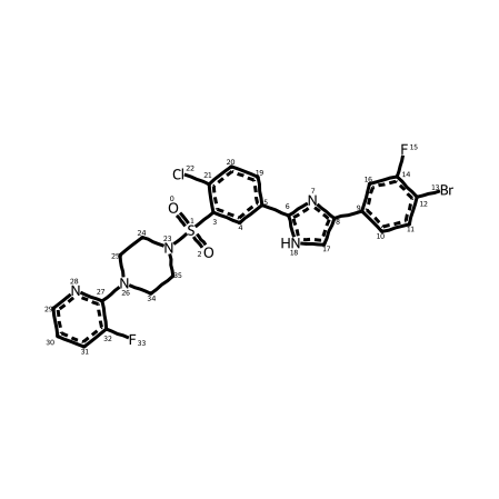 O=S(=O)(c1cc(-c2nc(-c3ccc(Br)c(F)c3)c[nH]2)ccc1Cl)N1CCN(c2ncccc2F)CC1